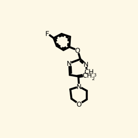 C=C(/C=N\C(=N/C)Oc1ccc(F)cc1)N1CCOCC1